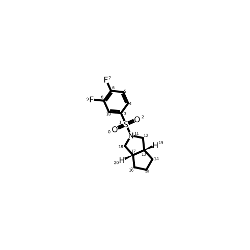 O=S(=O)(c1ccc(F)c(F)c1)N1C[C@@H]2CC[CH][C@@H]2C1